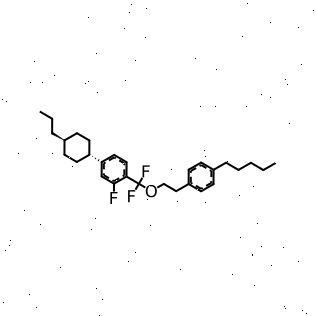 CCCCCc1ccc(CCOC(F)(F)c2ccc([C@H]3CC[C@H](CCC)CC3)cc2F)cc1